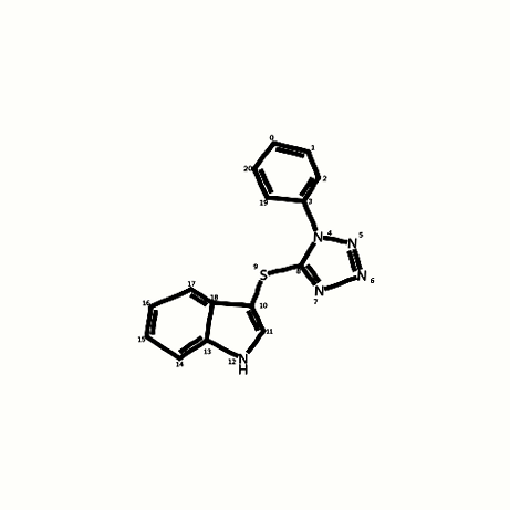 c1ccc(-n2nnnc2Sc2c[nH]c3ccccc23)cc1